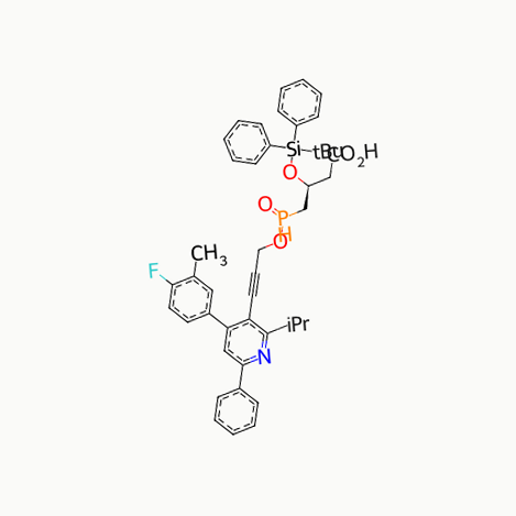 Cc1cc(-c2cc(-c3ccccc3)nc(C(C)C)c2C#CCO[PH](=O)C[C@H](CC(=O)O)O[Si](c2ccccc2)(c2ccccc2)C(C)(C)C)ccc1F